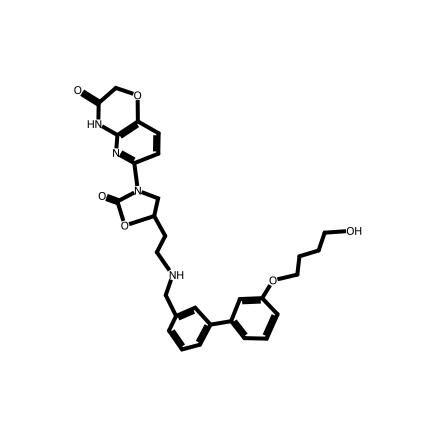 O=C1COc2ccc(N3CC(CCNCc4cccc(-c5cccc(OCCCCO)c5)c4)OC3=O)nc2N1